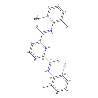 CCCc1cccc(C)c1/N=C(\C)c1cccc(/C(C)=N/c2c(C)cccc2Cl)n1